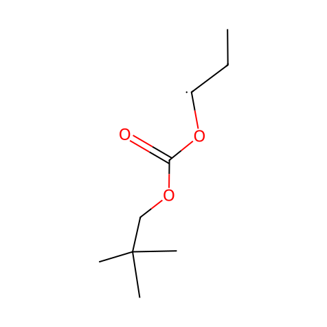 CC[CH]OC(=O)OCC(C)(C)C